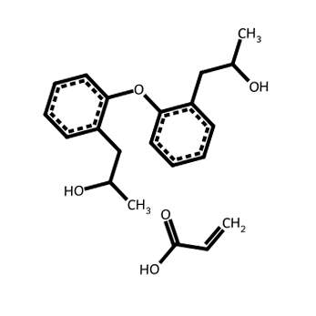 C=CC(=O)O.CC(O)Cc1ccccc1Oc1ccccc1CC(C)O